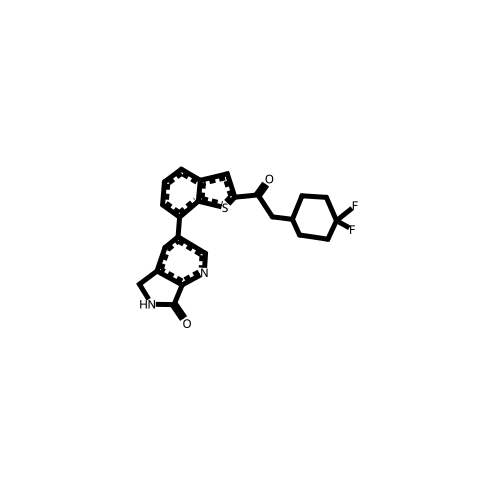 O=C(CC1CCC(F)(F)CC1)c1cc2cccc(-c3cnc4c(c3)CNC4=O)c2s1